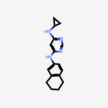 c1nc(Nc2ccc3c(c2)CCCC3)cc(NC2CC2)n1